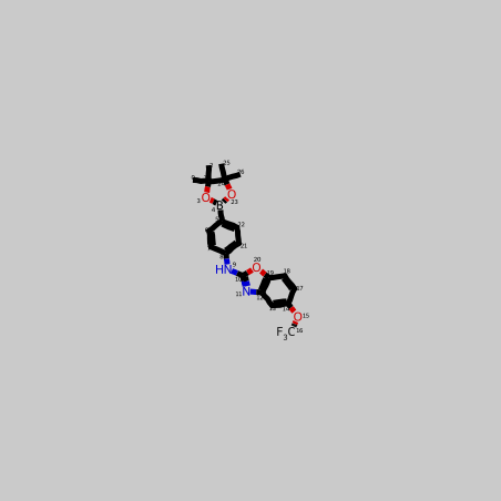 CC1(C)OB(c2ccc(Nc3nc4cc(OC(F)(F)F)ccc4o3)cc2)OC1(C)C